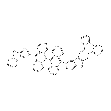 c1ccc2c(c1)oc1ccc(-c3c4ccccc4c(-c4c5ccccc5c(-c5ccc6oc7cc8c9ccccc9c9ccccc9c8cc7c6c5)c5ccccc45)c4ccccc34)cc12